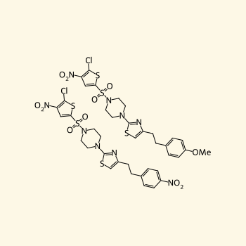 COc1ccc(CCc2csc(N3CCN(S(=O)(=O)c4cc([N+](=O)[O-])c(Cl)s4)CC3)n2)cc1.O=[N+]([O-])c1ccc(CCc2csc(N3CCN(S(=O)(=O)c4cc([N+](=O)[O-])c(Cl)s4)CC3)n2)cc1